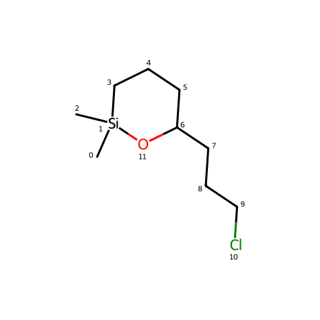 C[Si]1(C)CCCC(CCCCl)O1